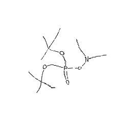 CN(C)OP(=O)(OC(C)(C)C)OC(C)(C)C